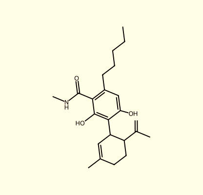 C=C(C)C1CCC(C)=CC1c1c(O)cc(CCCCC)c(C(=O)NC)c1O